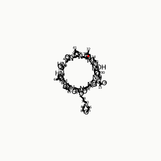 CC[C@@H]1NC(=O)[C@H]([C@H](O)[C@H](C)CCOC(C)=O)N(C)C(=O)[C@H](C(C)C)N(C)C(=O)[C@H](CC(C)C)N(C)C(=O)[C@H](CC(C)C)N(C)C(=O)[C@@H](C)NC(=O)[C@H](C)NC(=O)[C@H](CC(C)C)N(C)C(=O)[C@H](C(C)C)NC(=O)[C@H]([C@@H](C)OCCCCN2CCOCC2)N(C)C(=O)[C@@H](C)N(C)C1=O